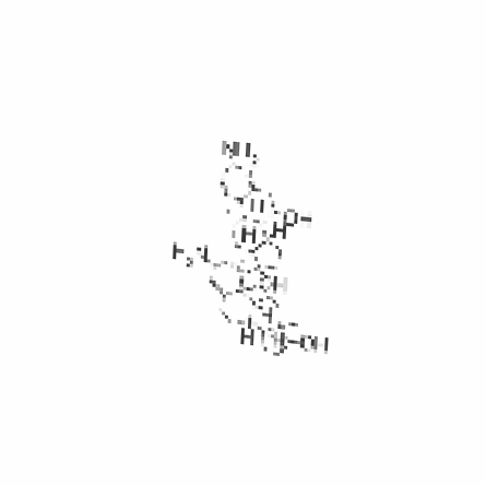 C[C@@]12C(=CC(N)C=C1C1(O)CC[C@H]3[C@@H]4C(O)CC5=CC(N)C=C[C@]5(C)[C@@H]4CC[C@@]31C)CC[C@@H]1[C@H]2CC[C@]2(C)C(O)CC[C@@H]12